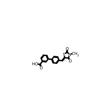 CN1C(=O)S/C(=C\c2ccc(-c3cccc(C(=O)O)c3)cc2)C1=O